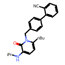 CCCCc1ccc(NC(C)C)c(=O)n1Cc1ccc(-c2ccccc2C#N)cc1